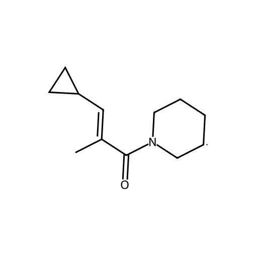 CC(=CC1CC1)C(=O)N1C[CH]CCC1